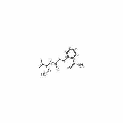 CC(C)[C@@H](CO)NC(=O)C[CH]c1ccccc1C(N)=O